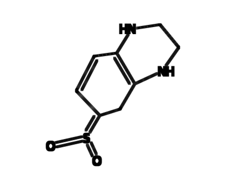 O=S(=O)=C1C=CC2=C(C1)NCCN2